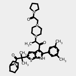 Cc1cc(C)cc(-c2[nH]c3sc(C(C)(C)C(=O)N4C5CCC4CC5)cc3c2C(=O)C(C)N2CCN(CC(=O)N3CCCC3)CC2)c1